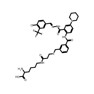 NC(CCCCNC(=O)CCSCc1cccc(C(=O)Nc2ccc(N3CCCCC3)cc2C(=O)N/N=C/c2ccc(Cl)c(C(F)(F)F)c2)c1)C(=O)O